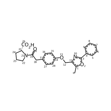 Cc1oc(-c2ccccc2)nc1COc1ccc(CC(=O)N2CCC[C@@H]2C(=O)O)cc1